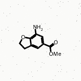 COC(=O)c1cc(N)c2c(c1)CCO2